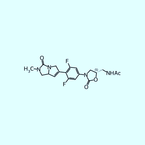 CC(=O)NC[C@H]1CN(c2cc(F)c(C3=CC4CN(C)C(=O)N4C3)c(F)c2)C(=O)O1